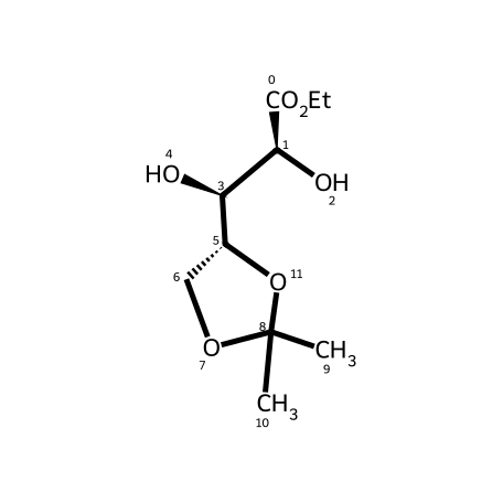 CCOC(=O)[C@@H](O)[C@H](O)[C@H]1COC(C)(C)O1